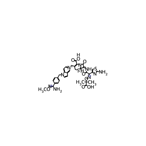 CO/N=C(\N)c1ccc(Cn2ccc3c[n+](CC4=C(C(=O)O)N5C(=O)[C@@H](NC(=O)/C(=N\OC(C)(C)C(=O)O)c6csc(N)n6)[C@H]5SC4)ccc32)cc1